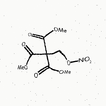 COC(=O)C(CO[N+](=O)[O-])(C(=O)OC)C(=O)OC